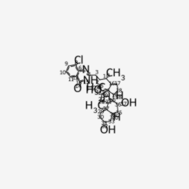 C[C@H](CCc1nc2c(Cl)cccc2c(=O)[nH]1)[C@H]1CC[C@H]2[C@H]3C(C[C@H](O)[C@]12C)[C@@]1(C)CC[C@@H](O)C[C@H]1C[C@H]3O